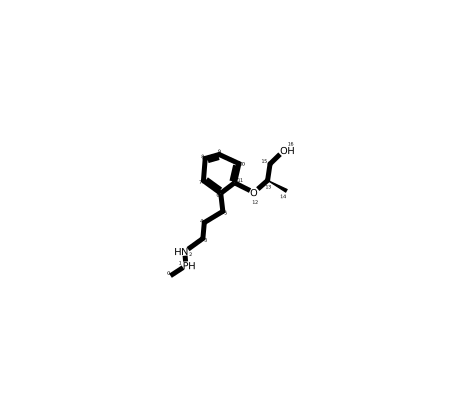 CPNCCCc1ccccc1O[C@H](C)CO